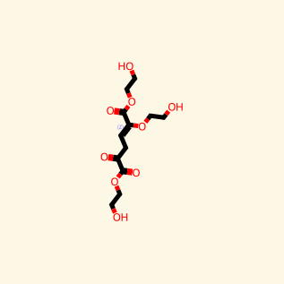 O=C(C/C=C(\OCCO)C(=O)OCCO)C(=O)OCCO